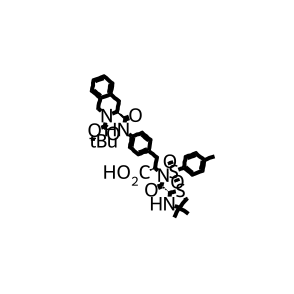 Cc1ccc(S(=O)(=O)N(C(=O)[C@H]2NC(C)(C)CS2)[C@@H](Cc2ccc(NC(=O)[C@@H]3Cc4ccccc4CN3C(=O)OC(C)(C)C)cc2)C(=O)O)cc1